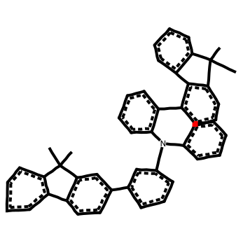 CC1(C)c2ccccc2-c2ccc(-c3cccc(N(c4ccccc4)c4ccccc4-c4cccc5c4-c4ccccc4C5(C)C)c3)cc21